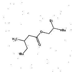 CCCCC(CC)COC(=O)CC(C)CC(C)(C)C